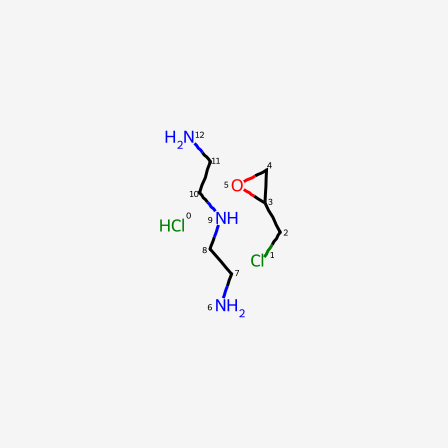 Cl.ClCC1CO1.NCCNCCN